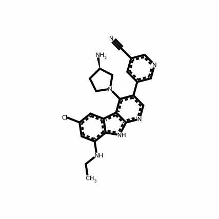 CCNc1cc(Cl)cc2c1[nH]c1ncc(-c3cncc(C#N)c3)c(N3CC[C@@H](N)C3)c12